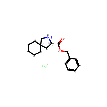 Cl.O=C(OCc1ccccc1)[C@@H]1CC2(CCCCC2)CN1